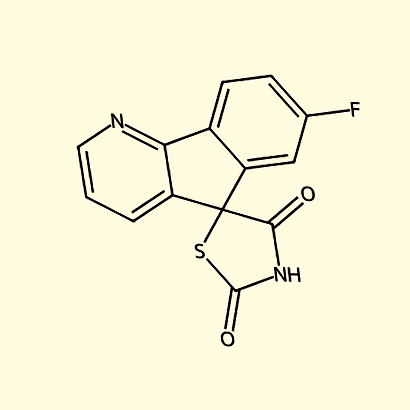 O=C1NC(=O)C2(S1)c1cc(F)ccc1-c1ncccc12